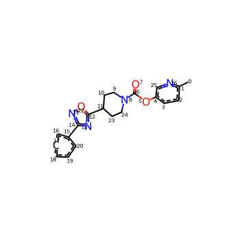 Cc1ccc(OC(=O)N2CCC(c3nc(-c4ccccc4)no3)CC2)cn1